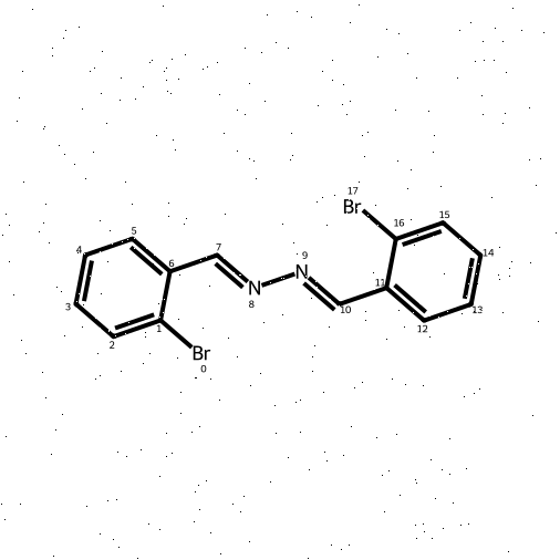 Brc1ccccc1/C=N/N=C/c1ccccc1Br